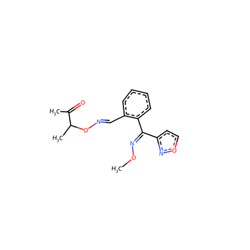 CON=C(c1ccon1)c1ccccc1C=NOC(C)C(C)=O